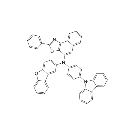 c1ccc(-c2nc3c(o2)c(N(c2ccc(-n4c5ccccc5c5ccccc54)cc2)c2ccc4oc5ccccc5c4c2)cc2ccccc23)cc1